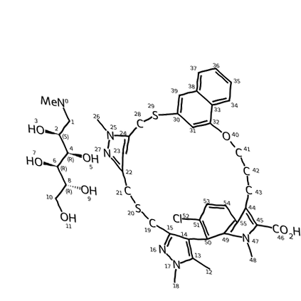 CNC[C@H](O)[C@@H](O)[C@H](O)[C@H](O)CO.Cc1c2c(nn1C)CSCc1cc(n(C)n1)CSc1cc(c3ccccc3c1)OCCCc1c(C(=O)O)n(C)c3c-2c(Cl)ccc13